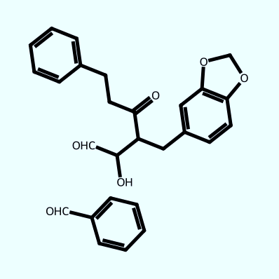 O=CC(O)C(Cc1ccc2c(c1)OCO2)C(=O)CCc1ccccc1.O=Cc1ccccc1